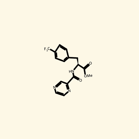 COC(=O)[C@H](Cc1ccc(C(F)(F)F)cc1)NC(=O)c1cnccn1